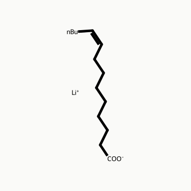 CCCC/C=C\CCCCCCCC(=O)[O-].[Li+]